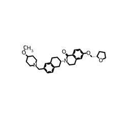 COC1CCN(Cc2ccc3c(c2)CC[C@H](N2CCc4cc(OC[C@@H]5CCCO5)ccc4C2=O)C3)CC1